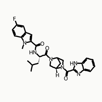 CC(C)C[C@H](NC(=O)c1cc2cc(F)ccc2n1C)C(=O)N1C[C@@H]2CC1CN2C(=O)c1nc2ccccc2[nH]1